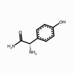 NC(=O)[C@@H](N)c1ccc(O)cc1